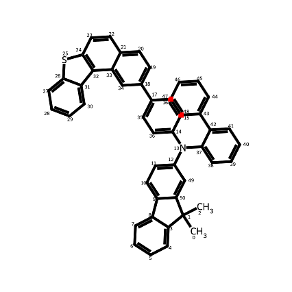 CC1(C)c2ccccc2-c2ccc(N(c3ccc(-c4ccc5ccc6sc7ccccc7c6c5c4)cc3)c3ccccc3-c3ccccc3)cc21